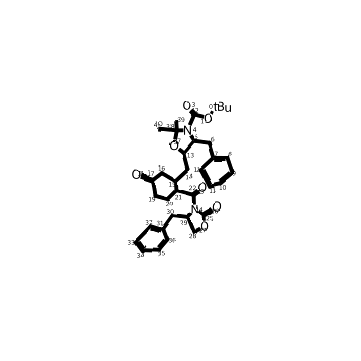 CC(C)(C)OC(=O)N1C(Cc2ccccc2)C(CC2CC(=O)CCC2C(=O)N2C(=O)OCC2Cc2ccccc2)OC1(C)C